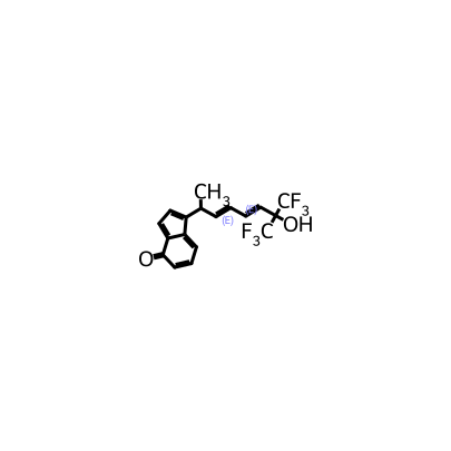 CC(/C=C/C=C/C(O)(C(F)(F)F)C(F)(F)F)C1=CC=C2C(=O)C=CC=C21